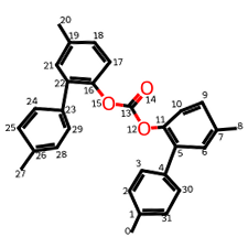 Cc1ccc(-c2cc(C)ccc2OC(=O)Oc2ccc(C)cc2-c2ccc(C)cc2)cc1